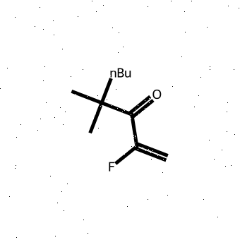 C=C(F)C(=O)C(C)(C)CCCC